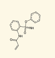 C=CC(=O)Nc1ccccc1S(=N)(=O)Oc1ccccc1